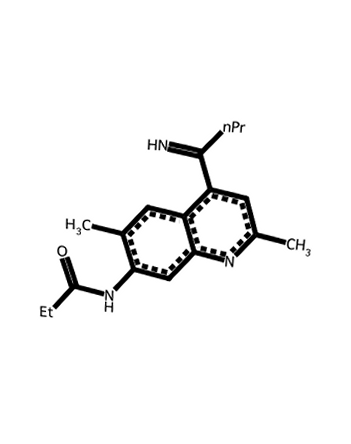 CCCC(=N)c1cc(C)nc2cc(NC(=O)CC)c(C)cc12